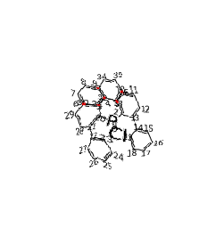 ClP(c1c(-c2ccccc2)cccc1-c1ccccc1)c1c(-c2ccccc2)cccc1-c1ccccc1